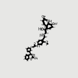 COc1cc(NC(=O)COc2cccc(C(NC(=O)O)c3ccccc3)c2)ccc1CNC[C@@H](O)c1ccc(O)c2[nH]c(=O)ccc12